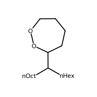 CCCCCCCCC(CCCCCC)C1CCCCOO1